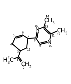 C=C(C)C1CC=CC(c2cnc(C)c(C)n2)C1